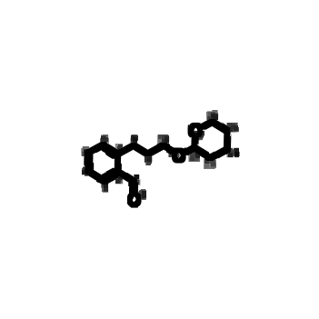 O=Cc1ccccc1CCCOC1CCCCO1